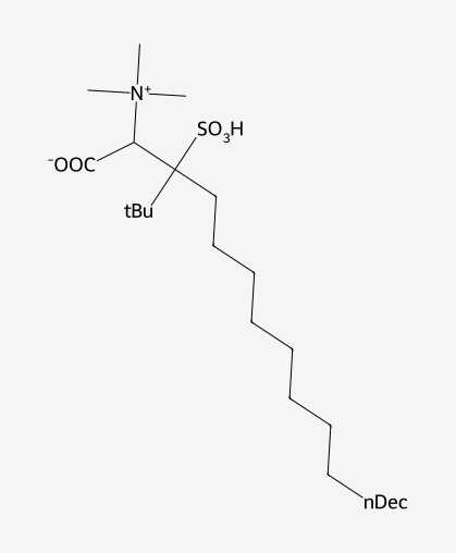 CCCCCCCCCCCCCCCCCCC(C(C(=O)[O-])[N+](C)(C)C)(C(C)(C)C)S(=O)(=O)O